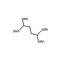 CSC(CCC(SC)SC)SC